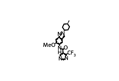 COc1cc2nn([C@H]3CC[C@H](C)CC3)cc2cc1NC(=O)c1cncnc1C(F)(F)F